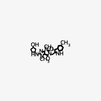 Cc1ccc2[nH]c(Cn3c(=O)c4c(nc(NC5CCC(O)C5)n4C)n(C)c3=O)cc2c1